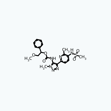 COCC(OC(=O)Nc1c(-c2ccc(NS(C)(=O)=O)c(C)n2)nnn1C)c1ccccc1